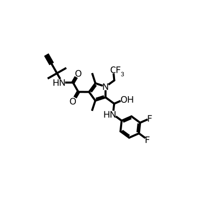 C#CC(C)(C)NC(=O)C(=O)c1c(C)c(C(O)Nc2ccc(F)c(F)c2)n(CC(F)(F)F)c1C